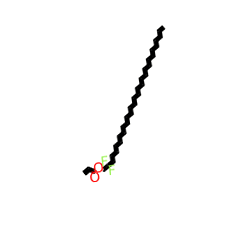 C=CC(=O)OCC(F)(F)CCCCCCCCCCCCCCCCCCCCCCCCCCCCC